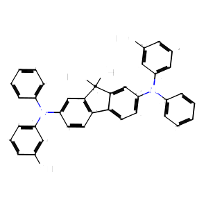 Cc1cccc(N(c2ccccc2)c2ccc3c(c2)C(C)(C)c2cc(N(c4ccccc4)c4cccc(C)c4)ccc2-3)c1